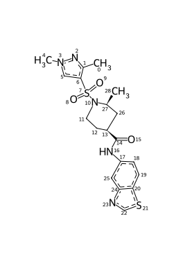 Cc1nn(C)cc1S(=O)(=O)N1CC[C@H](C(=O)Nc2ccc3scnc3c2)C[C@@H]1C